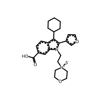 O=C(O)c1ccc2c(C3CCCCC3)c(-c3ccoc3)n(CC[N+]3([S-])CCOCC3)c2c1